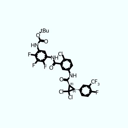 CC(C)(C)OC(=O)Nc1cc(NC(=O)c2cc(NC(=O)[C@H]3[C@H](c4ccc(F)c(C(F)(F)F)c4)C3(Cl)Cl)ccc2Cl)c(F)c(F)c1F